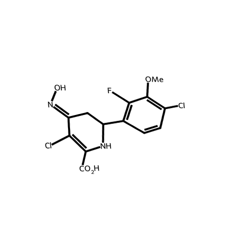 COc1c(Cl)ccc(C2CC(=NO)C(Cl)=C(C(=O)O)N2)c1F